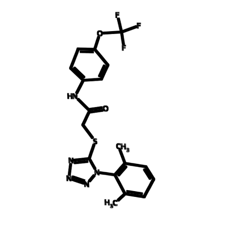 Cc1cccc(C)c1-n1nnnc1SCC(=O)Nc1ccc(OC(F)(F)F)cc1